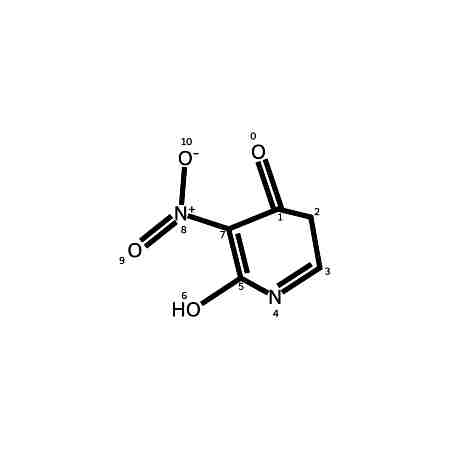 O=C1CC=NC(O)=C1[N+](=O)[O-]